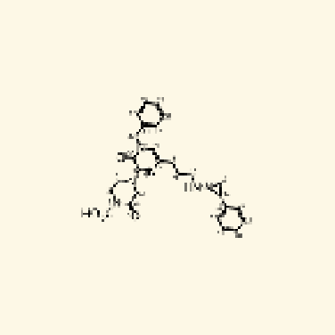 O=C(O)N1CCN(c2nc(CCCN[C@@H]3C[C@H]3c3ccccc3)cn(Cc3ccccc3)c2=O)CC1=O